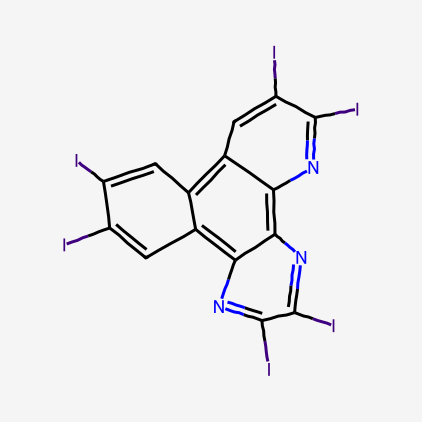 Ic1cc2c3cc(I)c(I)nc3c3nc(I)c(I)nc3c2cc1I